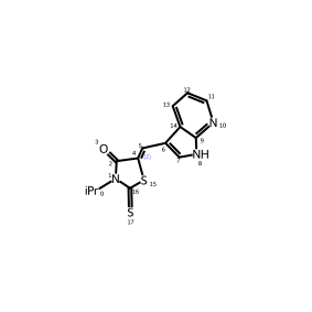 CC(C)N1C(=O)/C(=C/c2c[nH]c3ncccc23)SC1=S